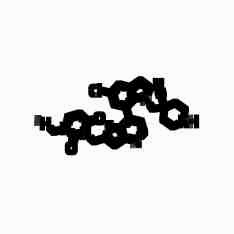 [2H]Cn1ccc(=O)n(Cc2cc3nccc(-c4cc(Cl)cc5ccn(CC6(C#N)CCNCC6)c45)c3s2)c1=O